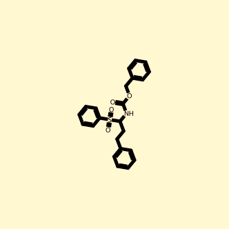 O=C(NC(CCc1ccccc1)S(=O)(=O)c1ccccc1)OCc1ccccc1